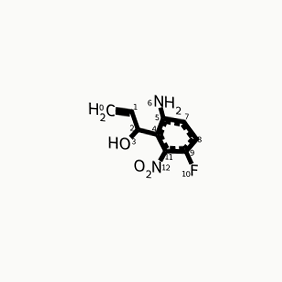 C=CC(O)c1c(N)ccc(F)c1[N+](=O)[O-]